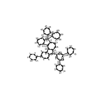 c1ccc(-c2ccc3c(c2)c2c4c(ccc2n3-c2nc(-c3ccccc3)nc(-c3ccccc3)n2)C(c2ccccc2)(c2ccccc2)c2ccccc2-4)cc1